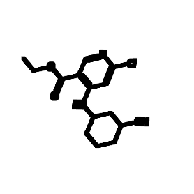 CCOC(=O)c1cnc(Cl)cc1NC1CCCC(O)C1